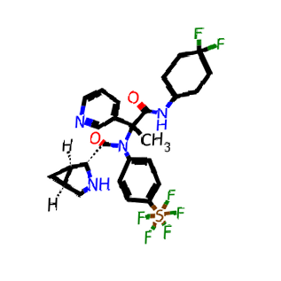 CC(C(=O)NC1CCC(F)(F)CC1)(c1cccnc1)N(C(=O)[C@@H]1NC[C@H]2C[C@H]21)c1ccc(S(F)(F)(F)(F)F)cc1